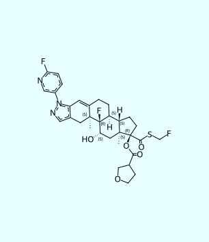 C[C@]12Cc3cnn(-c4ccc(F)nc4)c3C=C1CC[C@H]1[C@@H]3CC[C@](OC(=O)C4CCOC4)(C(=O)SCF)[C@@]3(C)C[C@H](O)[C@@]12F